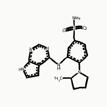 CNS(=O)(=O)c1ccc(N2CCCC2C)c(Nc2ncnc3[nH]ccc23)c1